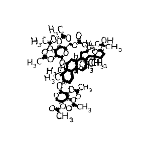 CC(=O)OC[C@H]1OC(O[C@H]2C[C@@H]3[C@]4(CC[C@]5(C)[C@@H]([C@@]6(C)CC[C@@H](C(C)(C)O)O6)C(=O)C[C@@]35C)C[C@@]43CC[C@H](OC4OC[C@@H](OC(C)=O)[C@H](OC(C)=O)[C@H]4OC(C)=O)C(C)(C)[C@H]23)[C@H](OC(C)=O)[C@@H](OC(C)=O)[C@@H]1OC(C)=O